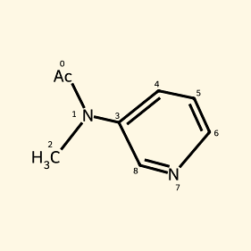 [CH2]C(=O)N(C)c1cccnc1